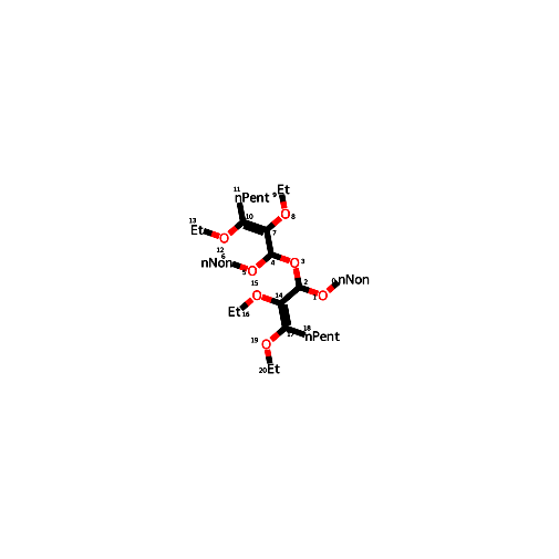 CCCCCCCCCOC(OC(OCCCCCCCCC)C(OCC)=C(CCCCC)OCC)C(OCC)=C(CCCCC)OCC